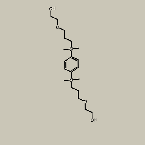 C[Si](C)(CCCOCCO)c1ccc([Si](C)(C)CCCOCCO)cc1